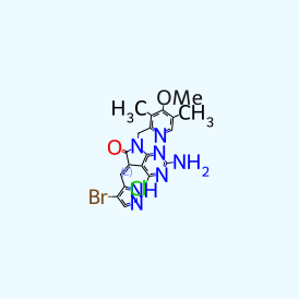 COc1c(C)cnc(CN2C(=O)/C(=C/c3[nH]ncc3Br)c3c(Cl)nc(N)nc32)c1C